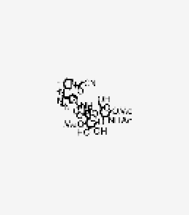 CO[C@@H]1OC(CO)[C@@H](O)C(O[C@@H]2OC(C(=O)N(C)NC(=O)n3ccc4c(N(C)[C@H]5CN(C(=O)CC#N)CC[C@H]5C)ncnc43)[C@@H](OC)C(O)C2O)C1NC(C)=O